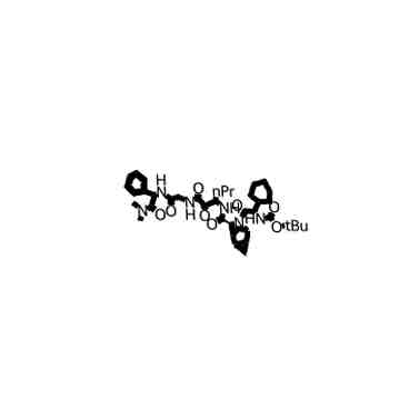 CCCC(NC(=O)[C@@H]1C2CC(C3CC32)N1C(=O)C(NC(=O)OC(C)(C)C)C1CCCCC1)C(=O)C(=O)NCC(=O)NC(C(=O)N(C)C)c1ccccc1